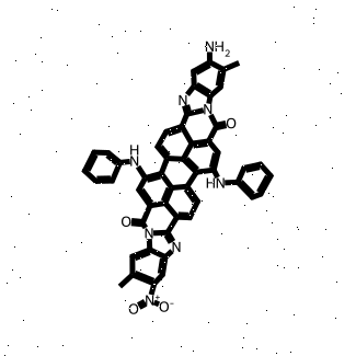 Cc1cc2c(cc1N)nc1c3ccc4c5c(Nc6ccccc6)cc6c(=O)n7c8cc(C)c([N+](=O)[O-])cc8nc7c7ccc(c8c(Nc9ccccc9)cc(c(=O)n21)c3c48)c5c67